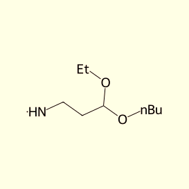 CCCCOC(CC[NH])OCC